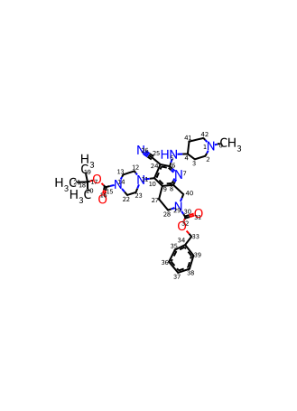 CN1CCC(Nc2nc3c(c(N4CCN(C(=O)OC(C)(C)C)CC4)c2C#N)CCN(C(=O)OCc2ccccc2)C3)CC1